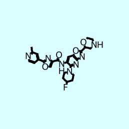 Cc1cc(-c2nc(C(=O)Nc3cc4oc(C5CNCCO5)nc4nc3N3CCC(F)CC3)co2)ccn1